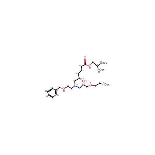 CCCCCCCCCCCCOCC(O)CN(CCCCCC(=O)OCC(CCCCCC)CCCCCCCC)CCOCc1ccccc1